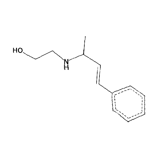 CC(C=Cc1ccccc1)NCCO